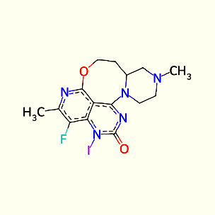 Cc1nc2c3c(nc(=O)n(I)c3c1F)N1CCN(C)CC1CCO2